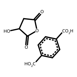 O=C(O)c1ccc(C(=O)O)cc1.O=C1CC(O)C(=O)O1